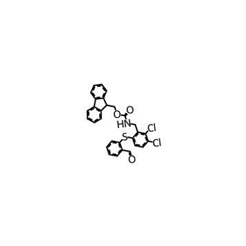 O=Cc1ccccc1Sc1ccc(Cl)c(Cl)c1CNC(=O)OCC1c2ccccc2-c2ccccc21